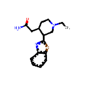 NC(=O)CC1CCN(CC(F)(F)F)CC1c1nc2ccccc2s1